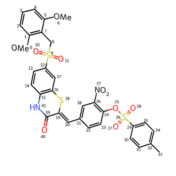 COc1cccc(OC)c1CS(=O)(=O)c1ccc2c(c1)S/C(=C\c1ccc(OS(=O)(=O)c3ccc(C)cc3)c([N+](=O)[O-])c1)C(=O)N2